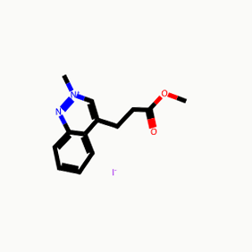 COC(=O)CCc1c[n+](C)nc2ccccc12.[I-]